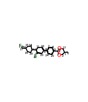 CC1COC(c2ccc(C3=CCC(C4CCC(CF)CC4)C(F)=C3)cc2)OC1